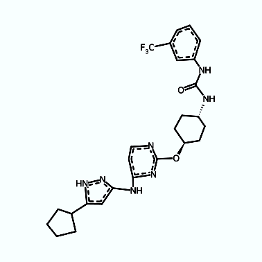 O=C(Nc1cccc(C(F)(F)F)c1)N[C@H]1CC[C@H](Oc2nccc(Nc3cc(C4CCCC4)[nH]n3)n2)CC1